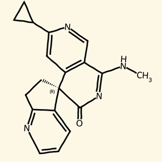 CNC1=NC(=O)[C@]2(CCc3ncccc32)c2cc(C3CC3)ncc21